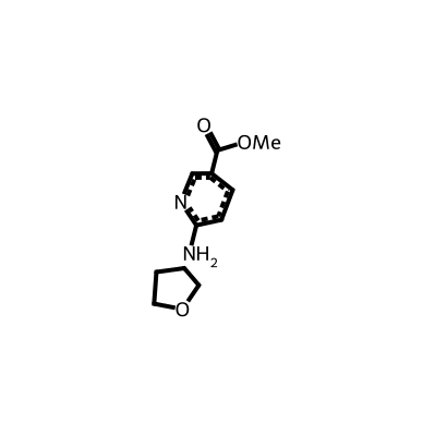 C1CCOC1.COC(=O)c1ccc(N)nc1